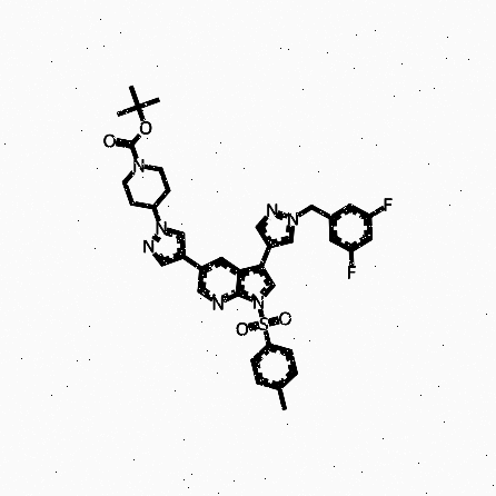 Cc1ccc(S(=O)(=O)n2cc(-c3cnn(Cc4cc(F)cc(F)c4)c3)c3cc(-c4cnn(C5CCN(C(=O)OC(C)(C)C)CC5)c4)cnc32)cc1